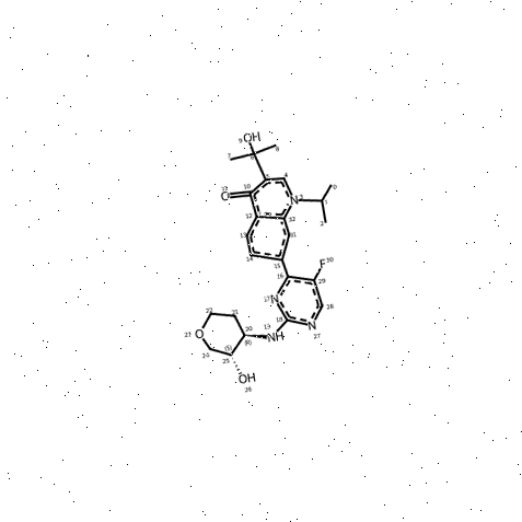 CC(C)n1cc(C(C)(C)O)c(=O)c2ccc(-c3nc(N[C@@H]4CCOC[C@H]4O)ncc3F)cc21